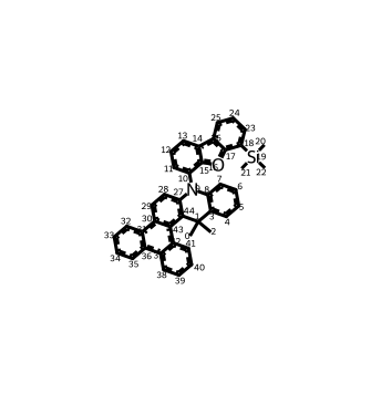 CC1(C)c2ccccc2N(c2cccc3c2oc2c([Si](C)(C)C)cccc23)c2ccc3c4ccccc4c4ccccc4c3c21